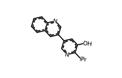 CC(C)c1ncc(-c2cnc3ccccc3c2)cc1O